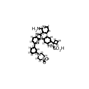 Nc1ncccc1-c1nc2ccc(-c3cccc(N4CCS(=O)(=O)CC4)c3)nc2n1-c1ccc(C2(NC(=O)O)CCC2)cc1